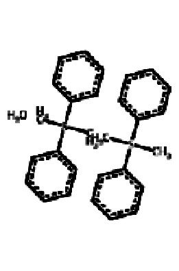 CS(C)(c1ccccc1)c1ccccc1.CS(C)(c1ccccc1)c1ccccc1.O